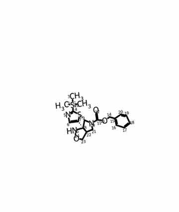 C[Si](C)(C)c1ncc([C@]23CN(C(=O)OCc4ccccc4)CC2CON3)s1